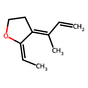 C=C/C(C)=C1\CCO\C1=C\C